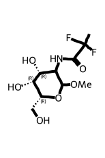 COC1O[C@H](CO)[C@H](O)[C@H](O)C1NC(=O)C(C)(F)F